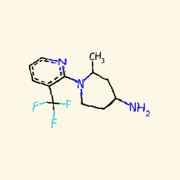 CC1CC(N)CCN1c1ncccc1C(F)(F)F